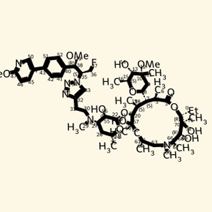 CC[C@H]1OC(=O)[C@H](C)[C@@H](C2C[C@@](C)(OC)[C@@H](O)[C@H](C)O2)[C@H](C)[C@@H](O[C@@H]2O[C@H](C)C[C@H](N(C)CCc3cn([C@H](CF)[C@H](OC)c4ccc(-c5ccc(OC)nc5)cc4)nn3)[C@H]2O)[C@](C)(O)C[C@@H](C)CN(C)[C@H](C)[C@@H](O)[C@]1(C)O